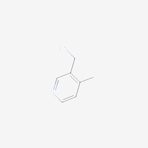 Cc1ccncc1C[NH]